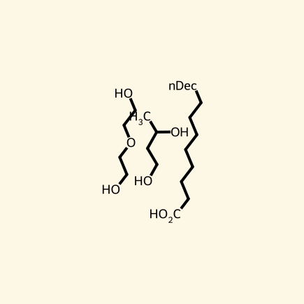 CC(O)CCO.CCCCCCCCCCCCCCCCCC(=O)O.OCCOCCO